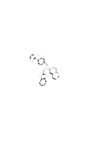 C1=CC2=CC(N(Cc3ccc(-c4ncc[nH]4)cc3)Cc3nc4ccccc4[nH]3)CCC2N=C1